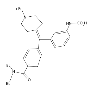 CCCN1CCC(=C(c2ccc(C(=O)N(CC)CC)cc2)c2cccc(NC(=O)O)c2)CC1